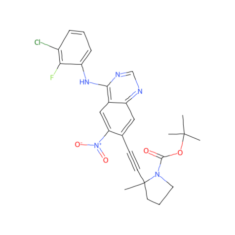 CC(C)(C)OC(=O)N1CCCC1(C)C#Cc1cc2ncnc(Nc3cccc(Cl)c3F)c2cc1[N+](=O)[O-]